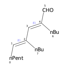 CCCCC/C=C(/C=C(/C=O)CCCC)CCCC